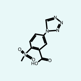 CS(=O)(=O)c1ccc(-n2cnnn2)cc1C(=O)O